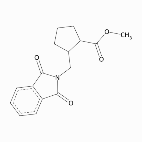 COC(=O)C1CCCC1CN1C(=O)c2ccccc2C1=O